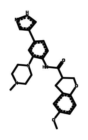 COc1ccc2c(c1)CC(C(=O)Nc1ccc(-c3cn[nH]c3)cc1N1CCN(C)CC1)CO2